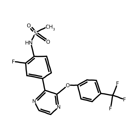 CS(=O)(=O)Nc1ccc(-c2nccnc2Oc2ccc(C(F)(F)F)cc2)cc1F